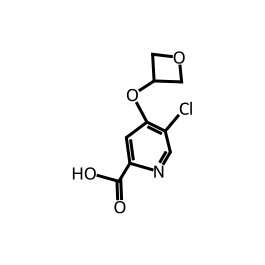 O=C(O)c1cc(OC2COC2)c(Cl)cn1